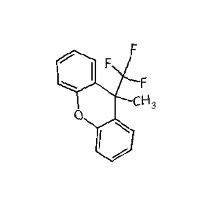 CC1(C(F)(F)F)c2ccccc2Oc2ccccc21